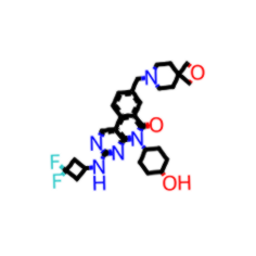 O=c1c2cc(CN3CCC4(CC3)COC4)ccc2c2cnc(NC3CC(F)(F)C3)nc2n1C1CCC(O)CC1